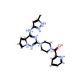 Cc1cc(Nc2nc(N3CCN(C(=O)c4ccccn4)CC3)nn3cccc23)n[nH]1